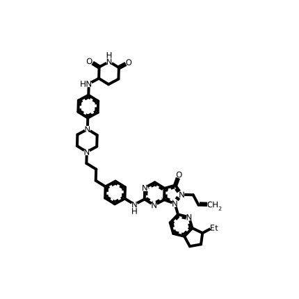 C=CCn1c(=O)c2cnc(Nc3ccc(CCCN4CCN(c5ccc(NC6CCC(=O)NC6=O)cc5)CC4)cc3)nc2n1-c1ccc2c(n1)C(CC)CC2